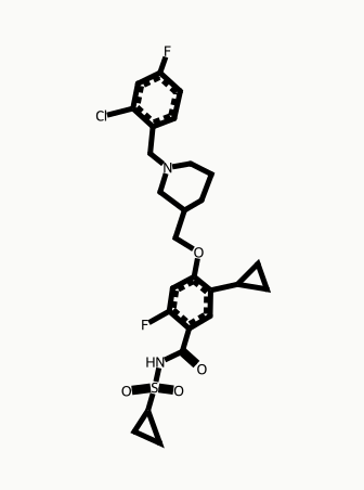 O=C(NS(=O)(=O)C1CC1)c1cc(C2CC2)c(OCC2CCCN(Cc3ccc(F)cc3Cl)C2)cc1F